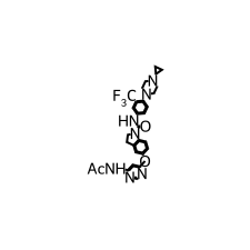 CC(=O)Nc1cc(Oc2ccc3c(c2)CCN3C(=O)Nc2ccc(N3CCN(C4CC4)CC3)c(C(F)(F)F)c2)ncn1